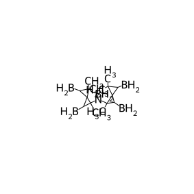 BC1C(C)(C)C12C(B)C2(C)N(B)C1(C)C(B)C12C(B)C2(C)C